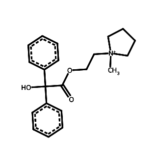 C[N+]1(CCOC(=O)C(O)(c2ccccc2)c2ccccc2)CCCC1